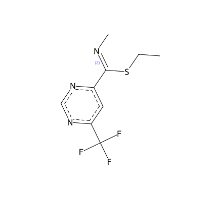 CCS/C(=N\C)c1cc(C(F)(F)F)ncn1